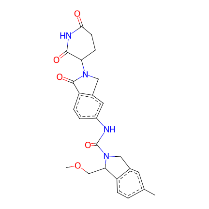 COCC1c2ccc(C)cc2CN1C(=O)Nc1ccc2c(c1)CN(C1CCC(=O)NC1=O)C2=O